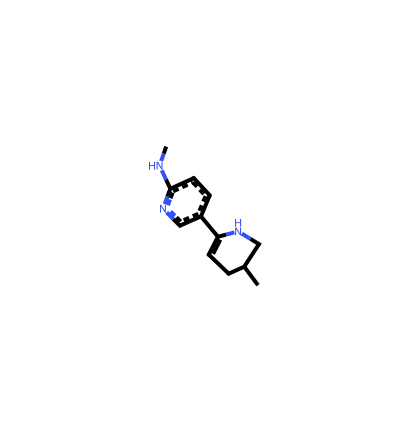 CNc1ccc(C2=CCC(C)CN2)cn1